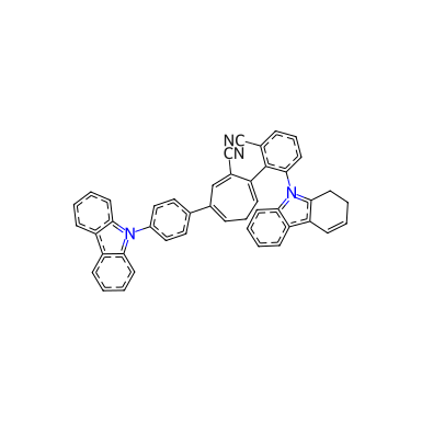 N#CC1=CC(c2ccc(-n3c4ccccc4c4ccccc43)cc2)=CCC=C1c1c(C#N)cccc1-n1c2c(c3ccccc31)C=CCC2